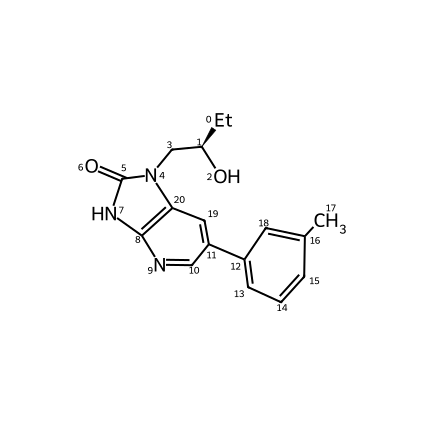 CC[C@@H](O)Cn1c(=O)[nH]c2ncc(-c3cccc(C)c3)cc21